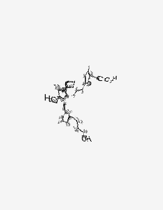 O=C(O)c1ccc(CCC[C@@H]2[C@@H](C#Cc3cccc(CCCO)c3)[C@H](O)C[C@H]2Cl)s1